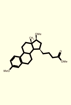 COC(=O)CCC[C@@H]1C[C@H](OC)[C@@]2(C)CCC3c4ccc(OC)cc4CCC3C12